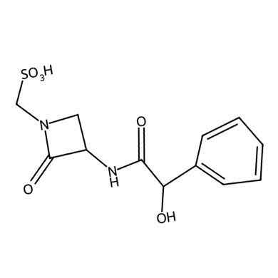 O=C(NC1CN(CS(=O)(=O)O)C1=O)C(O)c1ccccc1